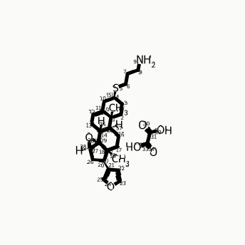 C[C@]12CC[C@H](SCCCN)CC1=CC[C@@H]1[C@@H]2CC[C@]2(C)[C@@H](c3ccoc3)C[C@H]3O[C@]132.O=C(O)C(=O)O